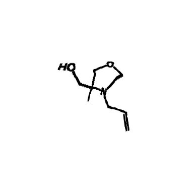 C=CCN1COCC1(C)CO